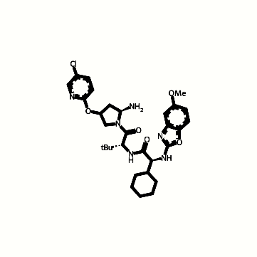 COc1ccc2oc(N[C@H](C(=O)N[C@@H](C(=O)N3CC(Oc4ccc(Cl)cn4)C[C@H]3N)C(C)(C)C)C3CCCCC3)nc2c1